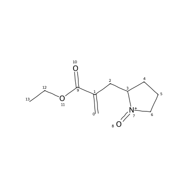 C=C(CC1CCC[N+]1=O)C(=O)OCC